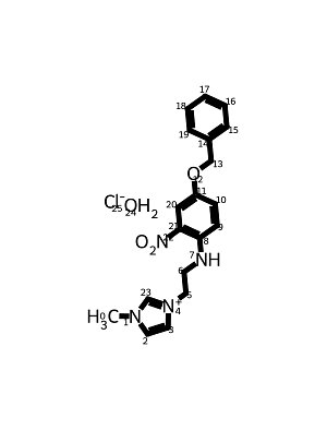 Cn1cc[n+](CCNc2ccc(OCc3ccccc3)cc2[N+](=O)[O-])c1.O.[Cl-]